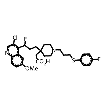 COc1ccc2ncc(Cl)c(C(F)CCC3(CC(=O)O)CCN(CCCSc4ccc(F)cc4)CC3)c2c1